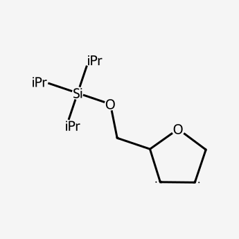 CC(C)[Si](OCC1[CH][CH]CO1)(C(C)C)C(C)C